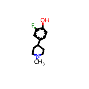 CN1CCC(c2ccc(O)c(F)c2)CC1